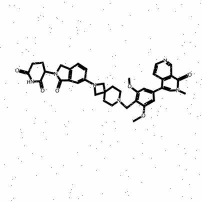 COc1cc(-c2cn(C)c(=O)c3cnccc23)cc(OC)c1CN1CCC2(CC1)CN(c1ccc3c(c1)C(=O)N(C1CCC(=O)NC1=O)C3)C2